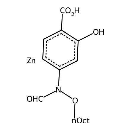 CCCCCCCCON(C=O)c1ccc(C(=O)O)c(O)c1.[Zn]